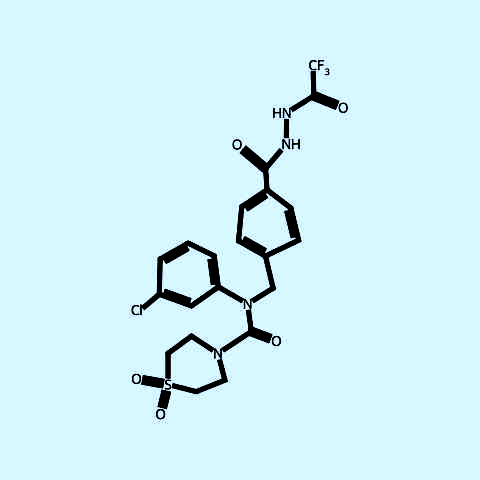 O=C(NNC(=O)C(F)(F)F)c1ccc(CN(C(=O)N2CCS(=O)(=O)CC2)c2cccc(Cl)c2)cc1